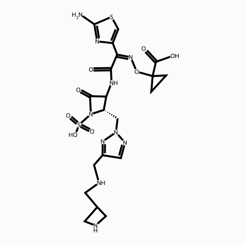 Nc1nc(/C(=N/OC2(C(=O)O)CC2)C(=O)NC2C(=O)N(S(=O)(=O)O)[C@H]2Cn2ncc(CNCC3CNC3)n2)cs1